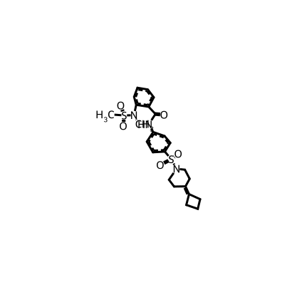 CN(c1ccccc1C(=O)Nc1ccc(S(=O)(=O)N2CCC(=C3CCC3)CC2)cc1)S(C)(=O)=O